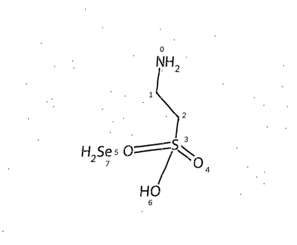 NCCS(=O)(=O)O.[SeH2]